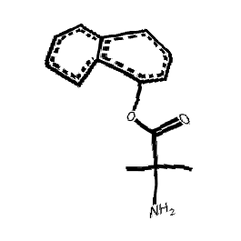 CC(C)(N)C(=O)Oc1cccc2ccccc12